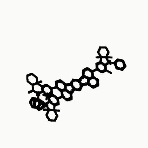 Cc1cc(-c2ccc3c4cc5c(cc4c4ccc(-c6cc(C)c7c(c6)C6(C)CCCCC6(C)N7c6ccccc6)c2c43)c2cccc3c(-c4cc(C)c6c(c4)C4(C)CCCCC4(C)N6c4ccccc4)ccc5c32)cc2c1N(c1ccccc1)C(C)C1CCCCC21C